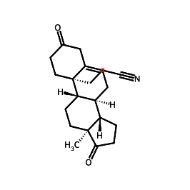 C[C@]12CC[C@H]3[C@@H](CC=C4CC(=O)CC[C@@]43CCC#N)[C@@H]1CCC2=O